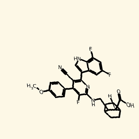 COc1ccc(-c2c(F)c(NCC3C4CCC(CC4)[C@H]3C(=O)O)nc(-c3c[nH]c4c(F)cc(F)cc34)c2C#N)cc1